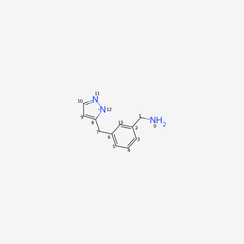 NCc1cccc(CC2=CC=N[N]2)c1